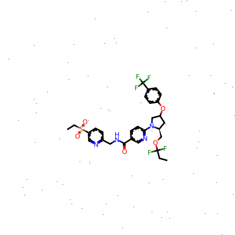 CCC(F)(F)OC[C@@H]1CC(Oc2ccc(C(F)(F)F)cc2)CN1c1ccc(C(=O)NCc2ccc(S(=O)(=O)CC)cn2)cn1